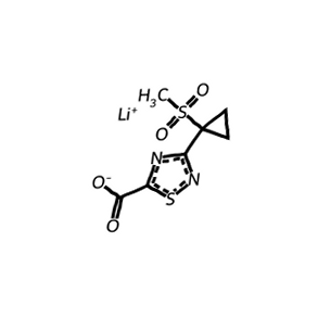 CS(=O)(=O)C1(c2nsc(C(=O)[O-])n2)CC1.[Li+]